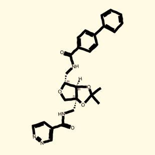 CC1(C)O[C@@H]2[C@@H](CNC(=O)c3ccc(-c4ccccc4)cc3)OC[C@]2(CNC(=O)c2ccnnc2)O1